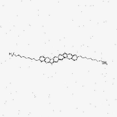 CCCCCCCCCCc1ccc2cc3c(cc2c1)sc1cc2cc4c(cc2cc13)sc1cc2cc(CCCCCCCCCC)ccc2cc14